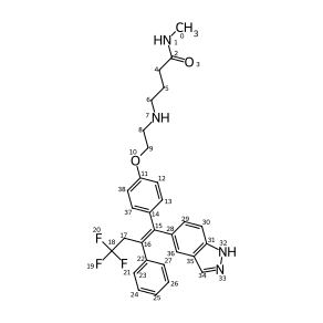 CNC(=O)CCCNCCOc1ccc(C(=C(CC(F)(F)F)c2ccccc2)c2ccc3[nH]ncc3c2)cc1